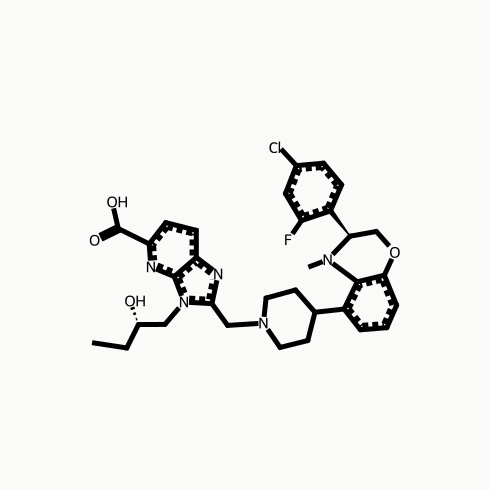 CC[C@H](O)Cn1c(CN2CCC(c3cccc4c3N(C)[C@@H](c3ccc(Cl)cc3F)CO4)CC2)nc2ccc(C(=O)O)nc21